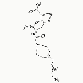 CCNCCN1CCC(CC(=O)N[C@H]2Cc3cccc(C(=O)O)c3OB2O)CC1